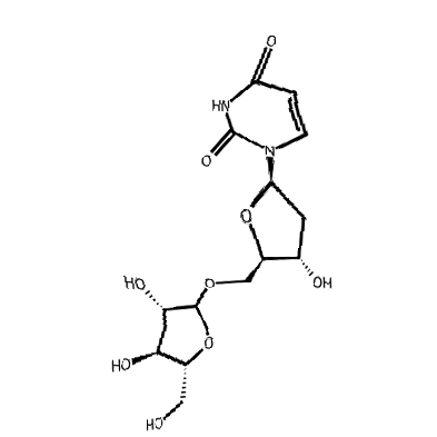 O=c1ccn([C@H]2C[C@H](O)[C@@H](COC3O[C@H](CO)[C@@H](O)[C@@H]3O)O2)c(=O)[nH]1